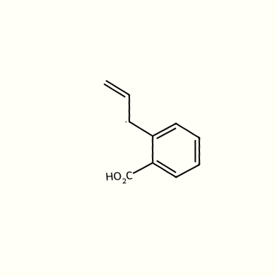 C=C[CH]c1ccccc1C(=O)O